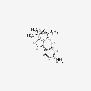 C[SiH](C)OC1[C@@H](C(C)(C)C)CCN1c1ccc(N)cc1F